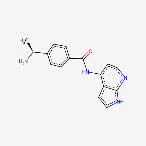 C[C@H](N)c1ccc(C(=O)Nc2ccnc3[nH]ccc23)cc1